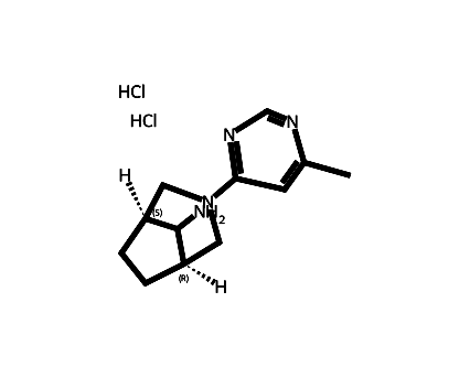 Cc1cc(N2C[C@H]3CC[C@@H](C2)C3N)ncn1.Cl.Cl